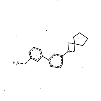 NCc1cccc(-c2cccc(N3CC4(CCCC4)C3)c2)c1